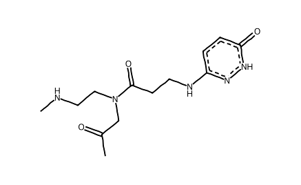 CNCCN(CC(C)=O)C(=O)CCNc1ccc(=O)[nH]n1